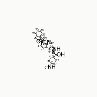 CNC1CCC(C(O)N2Cc3c(cnc4c3ccn4S(=O)(=O)c3ccccc3)N2)CC1